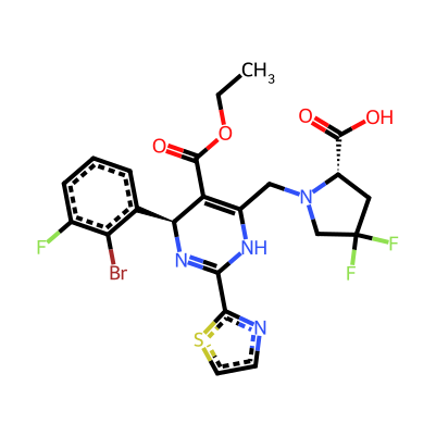 CCOC(=O)C1=C(CN2CC(F)(F)C[C@H]2C(=O)O)NC(c2nccs2)=N[C@H]1c1cccc(F)c1Br